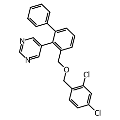 Clc1ccc(COCc2cccc(-c3ccccc3)c2-c2cncnc2)c(Cl)c1